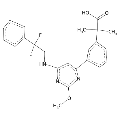 COc1nc(NCC(F)(F)c2ccccc2)cc(-c2cccc(C(C)(C)C(=O)O)c2)n1